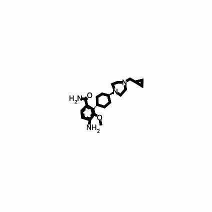 COc1c(N)ccc(C(N)=O)c1[C@H]1CC[C@H](N2CCN(CC3CC3)CC2)CC1